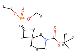 CCOP(=O)(C=C1CC2(CCCN(C(=O)OC(C)(C)C)C2)C1)OCC